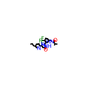 CCCc1ccc(-c2cc(=O)[nH]c(-c3cc(CNC(=O)C(C)C)ccc3C(F)(F)F)n2)nc1